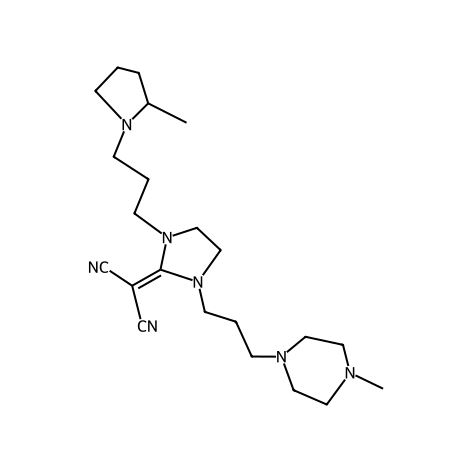 CC1CCCN1CCCN1CCN(CCCN2CCN(C)CC2)C1=C(C#N)C#N